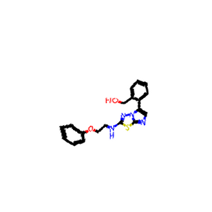 OCc1ccccc1-c1cnc2sc(NCCOc3ccccc3)nn12